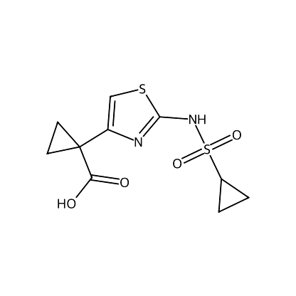 O=C(O)C1(c2csc(NS(=O)(=O)C3CC3)n2)CC1